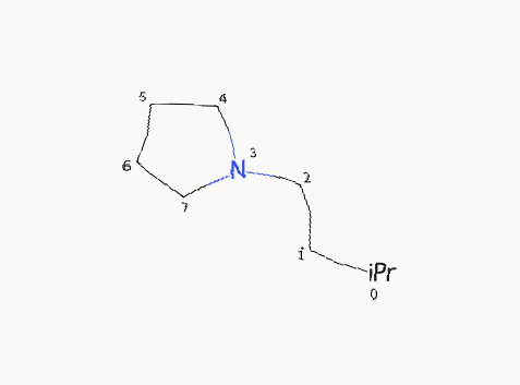 CC(C)[CH]CN1CCCC1